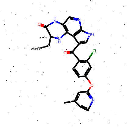 COC[C@]1(C)Nc2c(cnc3[nH]cc(C(=O)c4ccc(Oc5cc(C)ccn5)cc4Cl)c23)NC1=O